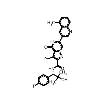 Cc1cccc2ncc(-c3cn4nc(C(=O)N[C@@H](c5ccc(F)cc5)C(C)(C)O)c(C(C)C)c4c(=O)[nH]3)cc12